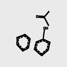 CC(C)=O.Oc1ccccc1.c1ccccc1